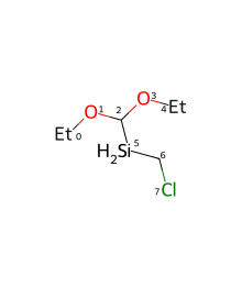 CCOC(OCC)[SiH2]CCl